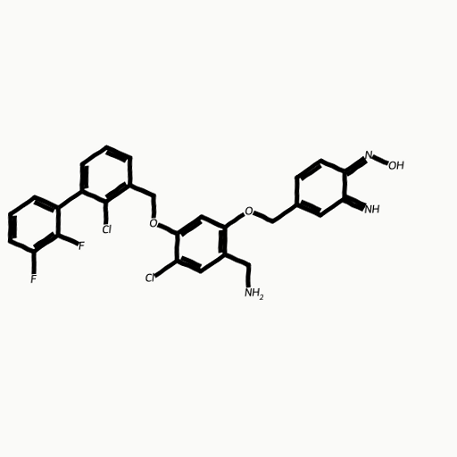 N=C1C=C(COc2cc(OCc3cccc(-c4cccc(F)c4F)c3Cl)c(Cl)cc2CN)C=C/C1=N/O